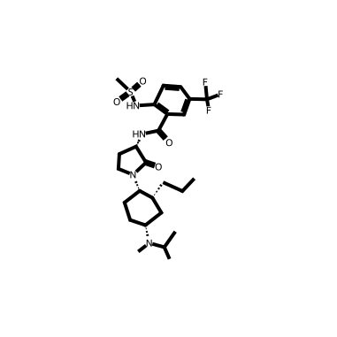 CCC[C@@H]1C[C@H](N(C)C(C)C)CC[C@@H]1N1CC[C@H](NC(=O)c2cc(C(F)(F)F)ccc2NS(C)(=O)=O)C1=O